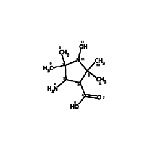 CC1(C)C(N)C(C(=O)O)C(C)(C)N1O